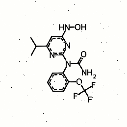 CC(C)c1cc(NO)nc(N(C(N)=O)c2ccccc2OC(F)(F)F)n1